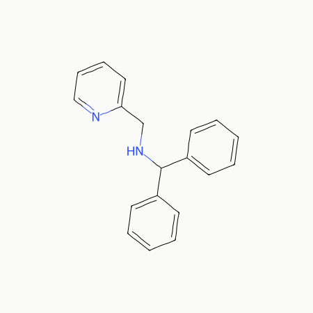 c1ccc(C(NCc2ccccn2)c2ccccc2)cc1